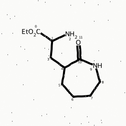 CCOC(=O)C(N)CC1CCCCNC1=O